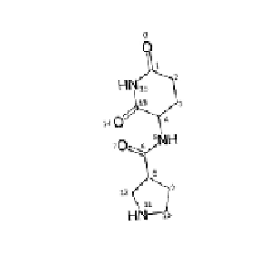 O=C1CCC(NC(=O)C2CCNC2)C(=O)N1